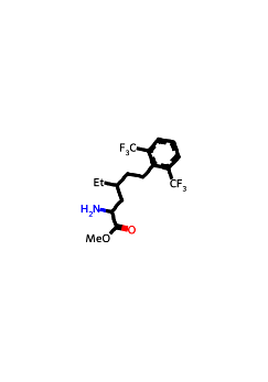 CCC(CCc1c(C(F)(F)F)cccc1C(F)(F)F)CC(N)C(=O)OC